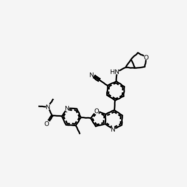 Cc1cc(C(=O)N(C)C)ncc1-c1cc2nccc(-c3ccc(NC4C5COCC54)c(C#N)c3)c2o1